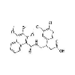 COc1c(Br)c(OC)c2ccccc2c1C(=O)NCC(CC(=O)O)c1ccc(Cl)c(Cl)c1